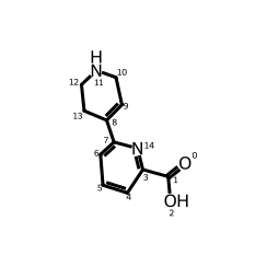 O=C(O)c1cccc(C2=CCNCC2)n1